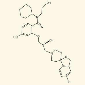 O=C(c1ccc(O)cc1OC[C@@H](O)CN1CCC2(CC1)OCc1cc(Cl)ccc12)N(CCO)C1CCCCC1